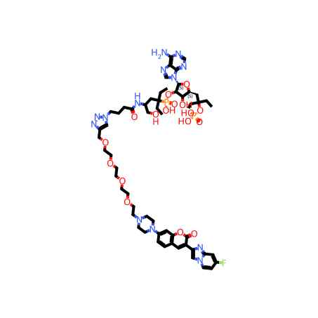 CCC(CC)(C[C@@H]1O[C@H](n2cnc3c(N)ncnc32)C(OP(=O)(O)C(CC)(CC)CC(CO)NC(=O)CCCn2cc(COCCOCCOCCOCCN3CCN(c4ccc5cc(-c6cn7ccc(F)cc7n6)c(=O)oc5c4)CC3)nn2)C1O)OP(=O)(O)O